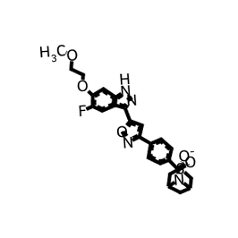 COCCOc1cc2[nH]nc(-c3cc(-c4ccc(C(=O)N5C6CC5C[S+]([O-])C6)cc4)no3)c2cc1F